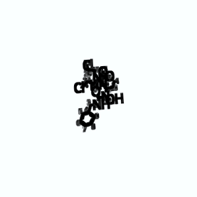 O=C(NCc1ccccc1)N(O)C1CCOP(=O)(N(CCCl)CCCl)N1